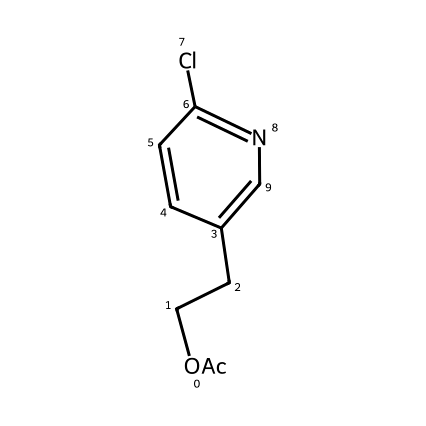 CC(=O)OCCc1ccc(Cl)nc1